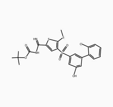 CSc1sc(C(=N)NC(=O)OC(C)(C)C)cc1S(=O)(=O)c1cc(O)cc(-c2ccccc2Cl)c1